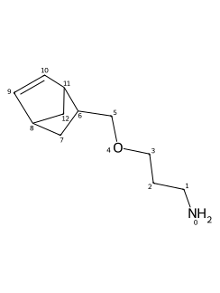 NCCCOCC1CC2C=CC1C2